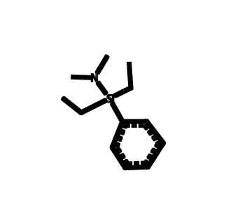 CC[Si](CC)(c1ccccc1)N(C)C